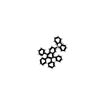 c1ccc(-c2c(-c3ccccc3)c(-c3ccccc3)c3cc(-n4c5ccccc5c5ccccc54)ccc3c2-c2ccccc2)cc1